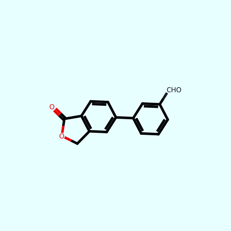 O=Cc1cccc(-c2ccc3c(c2)COC3=O)c1